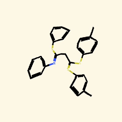 Cc1ccc(SC(CC(=Nc2ccccc2)Sc2ccccc2)Sc2ccc(C)cc2)cc1